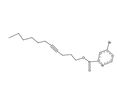 CCCCCCC#CCCCOC(=O)c1cc(Br)ccn1